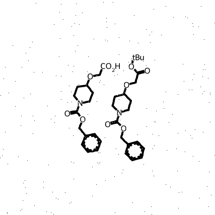 CC(C)(C)OC(=O)COC1CCN(C(=O)OCc2ccccc2)CC1.O=C(O)COC1CCN(C(=O)OCc2ccccc2)CC1